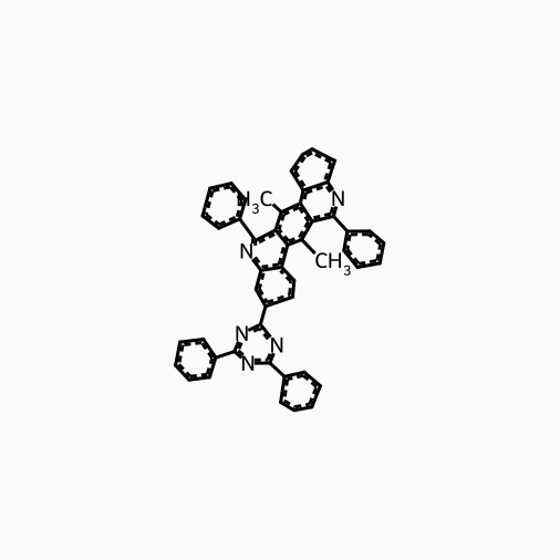 Cc1c2c(-c3ccccc3)nc3cc(-c4nc(-c5ccccc5)nc(-c5ccccc5)n4)ccc3c2c(C)c2c(-c3ccccc3)nc3ccccc3c12